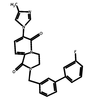 Cc1cn(-c2ccc3n(c2=O)CCN(Cc2cccc(-c4cccc(F)c4)c2)C3=O)cn1